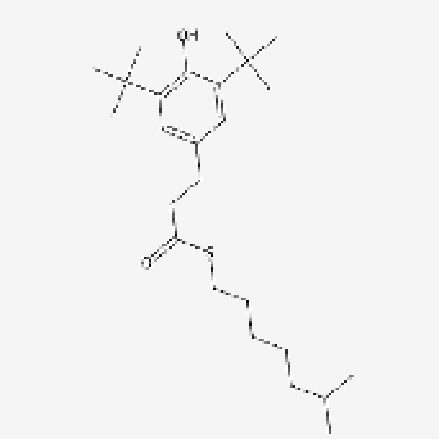 CC(C)CCCCCSC(=O)CCc1cc(C(C)(C)C)c(O)c(C(C)(C)C)c1